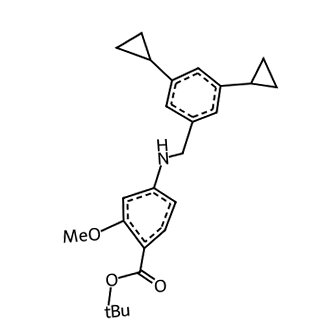 COc1cc(NCc2cc(C3CC3)cc(C3CC3)c2)ccc1C(=O)OC(C)(C)C